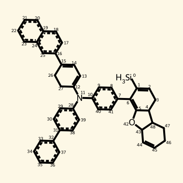 [SiH3]C1=CCC2C(=C1c1ccc(N(C3=CC=C(c4ccc5ccccc5c4)CC3)c3ccc(-c4ccccc4)cc3)cc1)OC1C=CCCC12